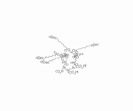 CCCCCCCCCCCCCCCCCC(=O)OC[C@H](COP(=O)(O)OCCNC(=O)CN(CCN(CCN(CC(=O)O)CC(=O)NCCOP(=O)(O)OC[C@@H](COC(=O)CCCCCCCCCCCCCCCCC)OC(=O)CCCCCCCCCCCCCCCCC)CC(=O)O)CC(=O)O)OC(=O)CCCCCCCCCCCCCCCCC